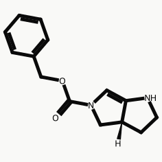 O=C(OCc1ccccc1)N1C=C2NCC[C@@H]2C1